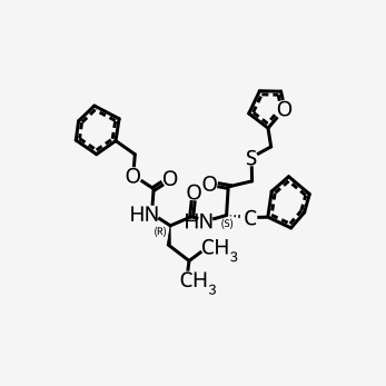 CC(C)C[C@@H](NC(=O)OCc1ccccc1)C(=O)N[C@@H](Cc1ccccc1)C(=O)CSCc1ccco1